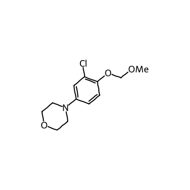 COCOc1ccc(N2CCOCC2)cc1Cl